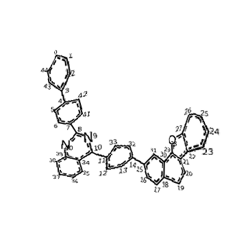 c1ccc(-c2ccc(-c3nc(-c4ccc(-c5ccc6ccc7c8ccccc8oc7c6c5)cc4)c4ccccc4n3)cc2)cc1